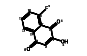 O=C1C=C(O)C(=O)c2c(F)cccc21